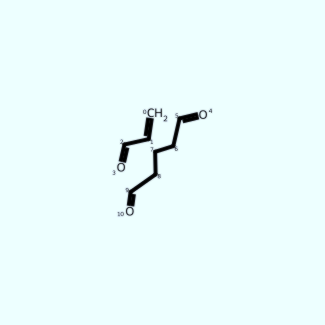 C=CC=O.O=CCCCC=O